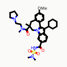 COc1ccc2c(c1)CC(C)(C(=O)N(C)CCN1CCCC1)Cn1c-2c(C2CCCCC2)c2ccc(C(=O)NS(=O)(=O)N(C)C)cc21